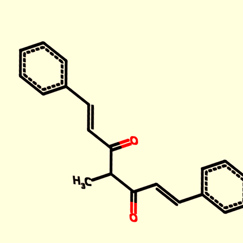 CC(C(=O)/C=C/c1ccccc1)C(=O)/C=C/c1ccccc1